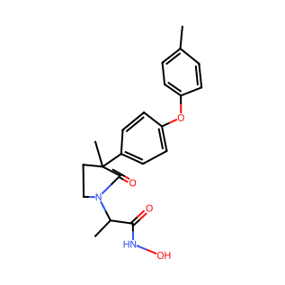 Cc1ccc(Oc2ccc(C3(C)CCN(C(C)C(=O)NO)C3=O)cc2)cc1